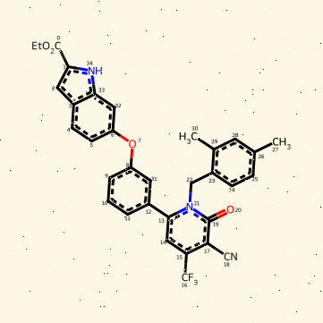 CCOC(=O)c1cc2ccc(Oc3cccc(-c4cc(C(F)(F)F)c(C#N)c(=O)n4Cc4ccc(C)cc4C)c3)cc2[nH]1